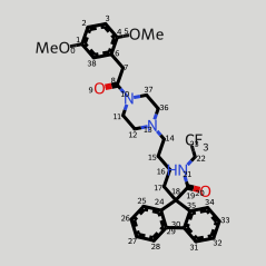 COc1ccc(OC)c(CC(=O)N2CCN(CCCCC3(C(=O)NCC(F)(F)F)c4ccccc4-c4ccccc43)CC2)c1